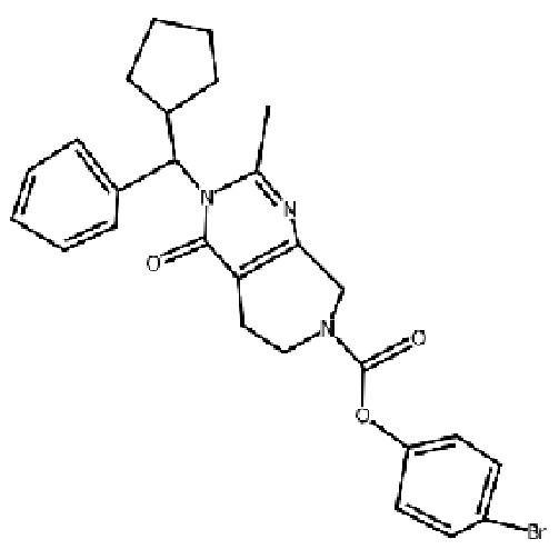 Cc1nc2c(c(=O)n1C(c1ccccc1)C1CCCC1)CCN(C(=O)Oc1ccc(Br)cc1)C2